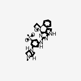 CN1C[C@@H]2C[C@H]1CN2c1cc(Nc2nc(N3OCC[C@H]3c3ccccc3)c3cc[nH]c3n2)cc(S(C)(=O)=O)c1